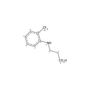 O=C(O)CCNc1ccccc1C(F)(F)F